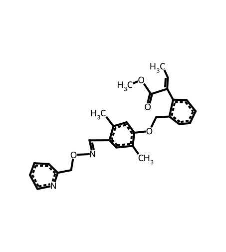 CC=C(C(=O)OC)c1ccccc1COc1cc(C)c(C=NOCc2ccccn2)cc1C